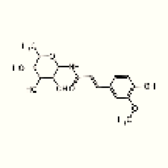 COc1cc(/C=C/C(=O)NC2OC(C)[C@@H](O)C(O)C2O)ccc1O